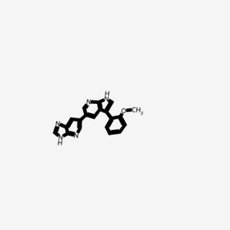 COc1ccccc1-c1c[nH]c2ncc(-c3cnc4[nH]cnc4c3)cc12